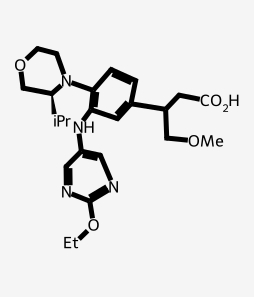 CCOc1ncc(Nc2cc(C(COC)CC(=O)O)ccc2N2CCOC[C@@H]2C(C)C)cn1